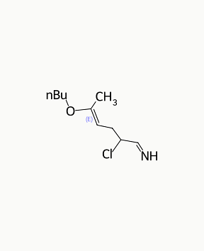 CCCCO/C(C)=C/CC(Cl)C=N